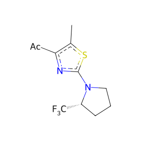 CC(=O)c1nc(N2CCC[C@@H]2C(F)(F)F)sc1C